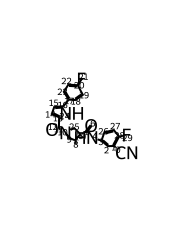 N#Cc1cc(NC(=O)[C@H]2CCN(C(=O)c3ccc(-c4ccc(F)cc4)[nH]3)C2)ccc1F